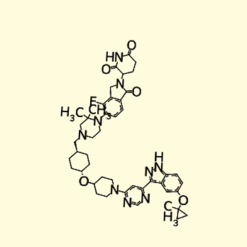 CC1(Oc2ccc3[nH]nc(-c4cc(N5CCC(O[C@H]6CC[C@H](CN7CCN(c8ccc9c(c8F)CN(C8CCC(=O)NC8=O)C9=O)C(C)(C)C7)CC6)CC5)ncn4)c3c2)CC1